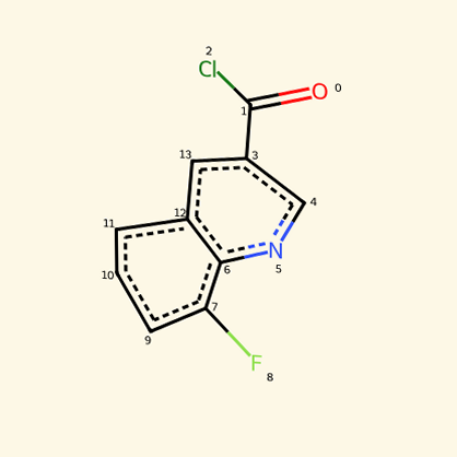 O=C(Cl)c1cnc2c(F)cccc2c1